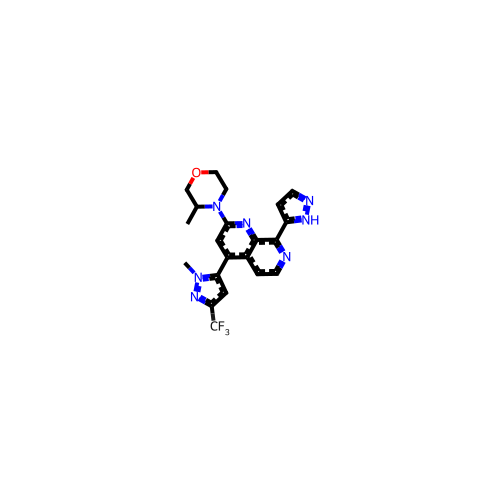 CC1COCCN1c1cc(-c2cc(C(F)(F)F)nn2C)c2ccnc(-c3ccn[nH]3)c2n1